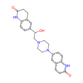 O=C1CCc2cc(C(O)CN3CCN(c4ccc5[nH]c(=O)ccc5c4)CC3)ccc2N1